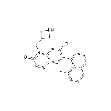 Cc1cccc2cccc(-c3cc4ncc(=O)n(CC5CNC5)c4cc3Cl)c12